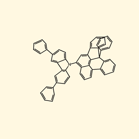 c1ccc(-c2ccc3c(c2)c2cc(-c4ccccc4)ccc2n3-c2cc3c4c5c(cccc25)-c2ccccc2C4(c2ccccc2)c2ccccc2-3)cc1